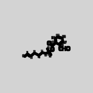 CC=CCCCCC(C)(C)OC(=O)c1ccccc1C=O